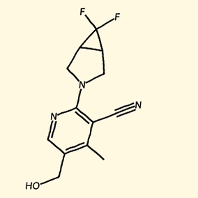 Cc1c(CO)cnc(N2CC3C(C2)C3(F)F)c1C#N